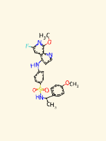 COc1ccc([C@@H](C)NS(=O)(=O)c2ccc(Nc3ccnc4c(OC)nc(F)cc34)cc2)cc1